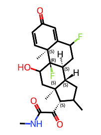 CNC(=O)C(=O)[C@H]1C(C)C[C@H]2[C@@H]3CC(F)C4=CC(=O)C=C[C@]4(C)[C@@]3(F)C(O)C[C@]12C